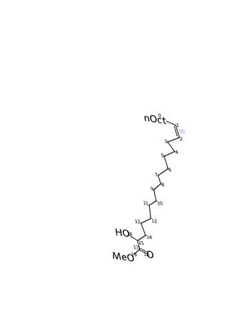 CCCCCCCC/C=C\CCCCCCCCCCCCC(O)C(=O)OC